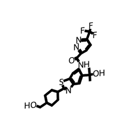 CC(C)(O)c1cc2nc(C3CCC(CO)CC3)sc2cc1NC(=O)c1ccc(C(F)(F)F)nn1